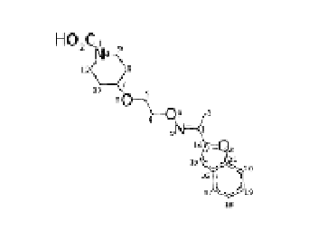 CC(=NOCCOC1CCN(C(=O)O)CC1)c1cc2ccccc2o1